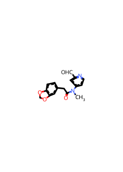 CN(C(=O)Cc1ccc2c(c1)OCO2)c1ccnc(C=O)c1